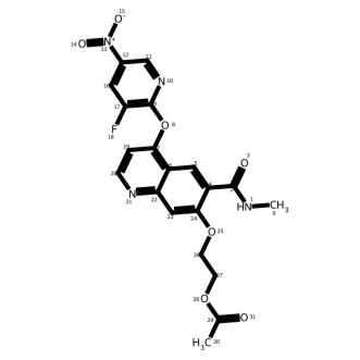 CNC(=O)c1cc2c(Oc3ncc([N+](=O)[O-])cc3F)ccnc2cc1OCCOC(C)=O